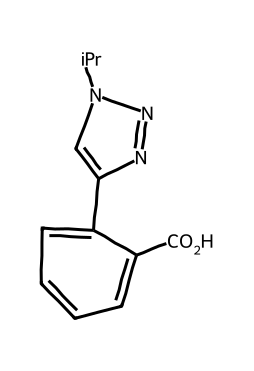 CC(C)n1cc(-c2ccccc2C(=O)O)nn1